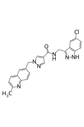 Cc1ccc2cc(Cn3cc(C(=O)NCc4n[nH]c5ccc(Cl)cc45)cn3)ccc2n1